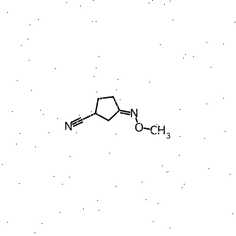 CON=C1CCC(C#N)C1